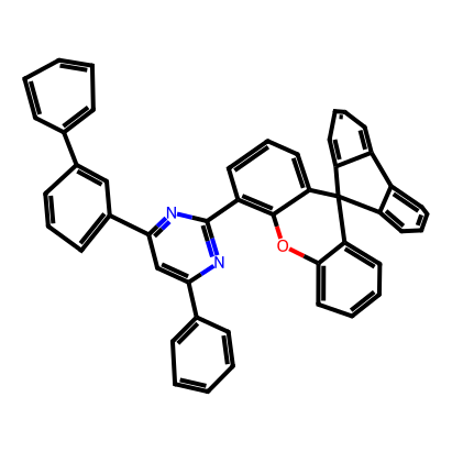 c1ccc(-c2cccc(-c3cc(-c4ccccc4)nc(-c4cccc5c4Oc4ccccc4C54c5ccccc5-c5ccccc54)n3)c2)cc1